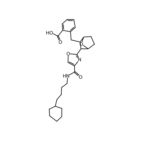 O=C(NCCCCC1CCCCC1)c1coc(C2C3CCC(O3)C2Cc2ccccc2C(=O)O)n1